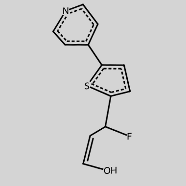 O/C=C\C(F)c1ccc(-c2ccncc2)s1